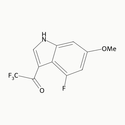 COc1cc(F)c2c(C(=O)C(F)(F)F)c[nH]c2c1